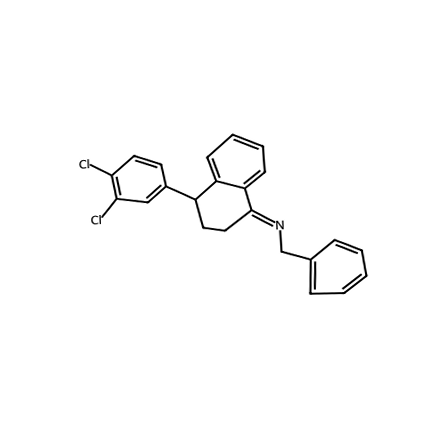 Clc1ccc(C2CC/C(=N\Cc3ccccc3)c3ccccc32)cc1Cl